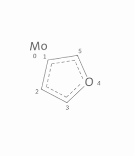 [Mo].c1ccoc1